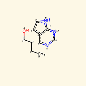 CCCCO.c1ncc2cc[nH]c2n1